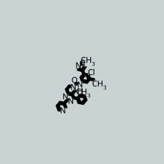 CCc1cc(NC(=O)N2CCc3nc(-c4cccnc4)nc(-c4ccccc4C)c3C2)cc(-c2cnn(C)c2)c1Cl